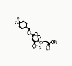 C=C(CC(=O)OCC1CCC(F)(F)CC1)C(=O)OCC(=O)O